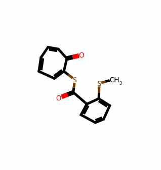 CSc1ccccc1C(=O)Sc1cccccc1=O